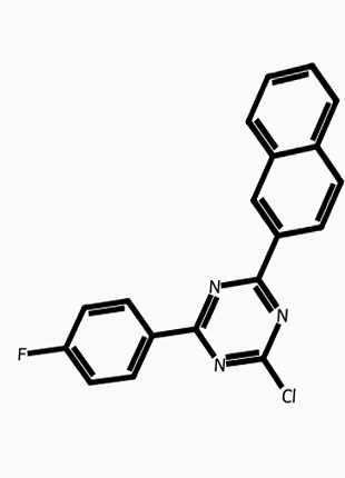 Fc1ccc(-c2nc(Cl)nc(-c3ccc4ccccc4c3)n2)cc1